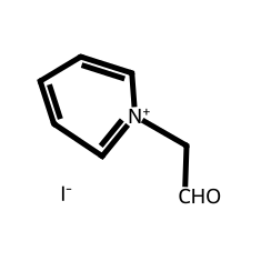 O=CC[n+]1ccccc1.[I-]